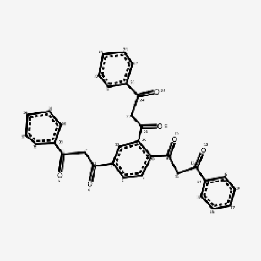 O=C(CC(=O)c1ccc(C(=O)CC(=O)c2ccccc2)c(C(=O)CC(=O)c2ccccc2)c1)c1ccccc1